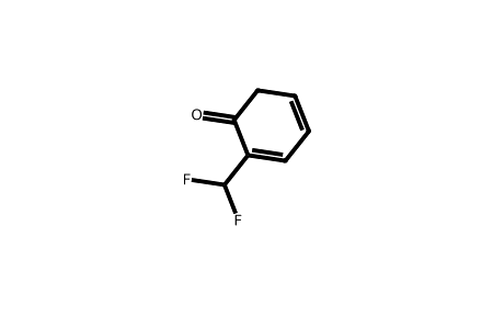 O=C1CC=CC=C1C(F)F